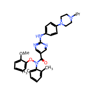 COc1ccccc1ON(C(=O)c1cnc(Nc2ccc(N3CCN(C(C)C)CC3)cc2)nc1)c1c(C)cccc1C